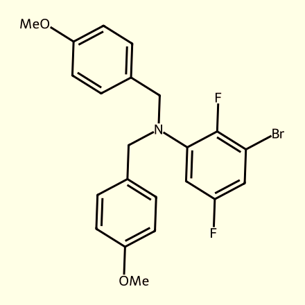 COc1ccc(CN(Cc2ccc(OC)cc2)c2cc(F)cc(Br)c2F)cc1